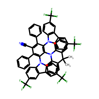 CC1(C)c2ccccc2N(c2c(-n3c4ccc(C(F)(F)F)cc4c4cc(C(F)(F)F)ccc43)c(-c3ccccc3)c(C#N)c(-c3ccccc3)c2-n2c3ccc(C(F)(F)F)cc3c3cc(C(F)(F)F)ccc32)c2ccccc21